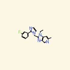 CCn1c(Cn2ccnc2-c2cccc(F)c2)nc2cnc(C)cc21